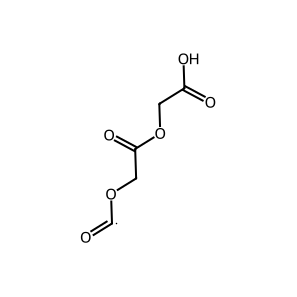 O=[C]OCC(=O)OCC(=O)O